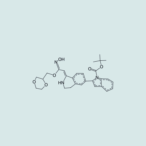 CC(C)(C)OC(=O)n1c(-c2ccc3c(c2)CCN/C3=C\C(=N/O)OCC2COCCO2)cc2ccccc21